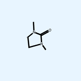 CN1[CH]CN(C)C1=O